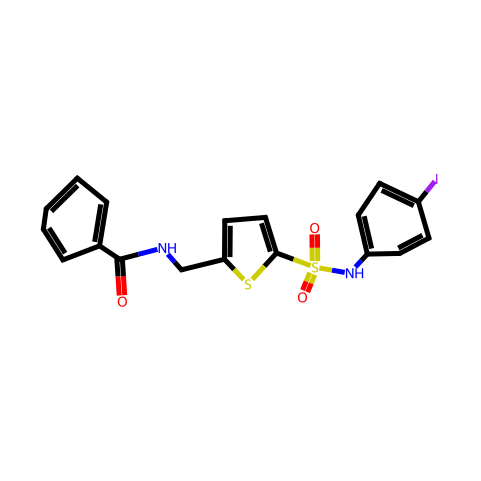 O=C(NCc1ccc(S(=O)(=O)Nc2ccc(I)cc2)s1)c1ccccc1